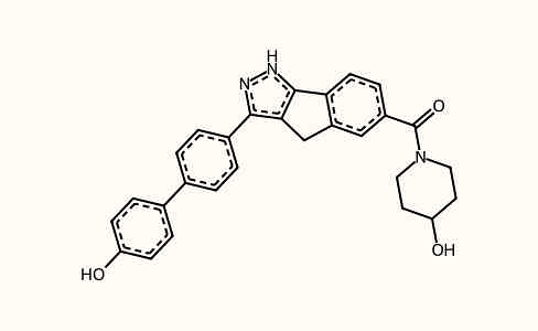 O=C(c1ccc2c(c1)Cc1c(-c3ccc(-c4ccc(O)cc4)cc3)n[nH]c1-2)N1CCC(O)CC1